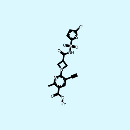 C#Cc1cc(C(=O)OC(C)C)c(C)nc1N1CC(C(=O)NS(=O)(=O)c2ccc(Cl)s2)C1